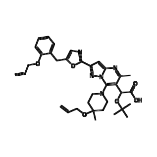 C=CCOc1ccccc1Cc1cnc(-c2cc3nc(C)c(C(OC(C)(C)C)C(=O)O)c(N4CCC(C)(OCC=C)CC4)n3n2)o1